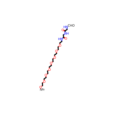 CCCOCCOCCOCCOCCOCCOCCOCCOCCNC(=O)CNC(=O)CNC=O